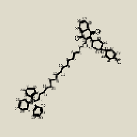 O=C1C(OCCCCCCCCCCCCCCCC[PH](c2ccccc2)(c2ccccc2)c2ccccc2)=C(C2CCC(c3ccc(Cl)cc3)CC2)C(=O)c2ccccc21